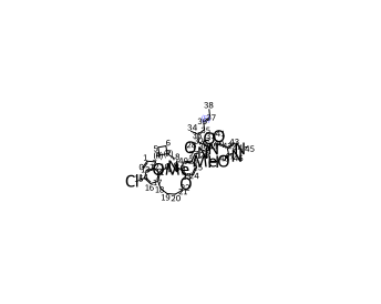 C=CC(OC)[C@@H]1CC[C@H]1CN1Cc2ccc(Cl)cc2CCCCOc2ccc(C(=O)N=S(=O)(CC(C)C/C=C/C)NC(=O)c3cn(C)nc3OC)cc21